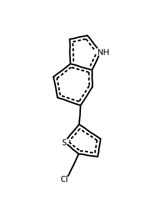 Clc1ccc(-c2ccc3cc[nH]c3c2)s1